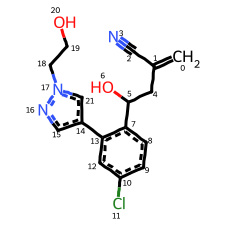 C=C(C#N)CC(O)c1ccc(Cl)cc1-c1cnn(CCO)c1